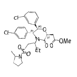 CCC(CS(=O)(=O)N1CCCC1C)N1C(=O)[C@H](CC(=O)OC)O[C@H](c2cccc(Cl)c2)[C@H]1c1ccc(Cl)cc1